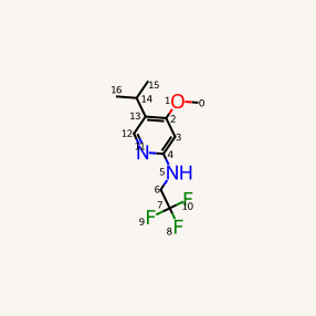 COc1cc(NCC(F)(F)F)ncc1C(C)C